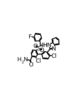 NC(=O)c1ccc(S(=O)(=O)Nc2cccc(F)c2)c(-c2ccc(Cl)c(-c3nc4ccccc4[nH]3)c2)c1Cl